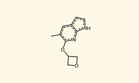 Cc1cc2cc[nH]c2nc1OC1COC1